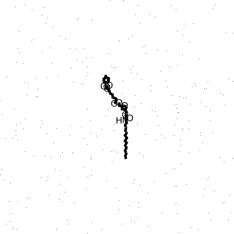 CCCCCCCCCCCCCCCNC(=O)OCC1COC(COC(=O)CCCCCOS(=O)(=O)c2ccc(C)cc2)C1